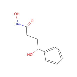 O=C(CCC(O)c1ccccc1)NO